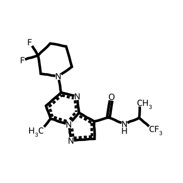 Cc1cc(N2CCCC(F)(F)C2)nc2c(C(=O)NC(C)C(F)(F)F)cnn12